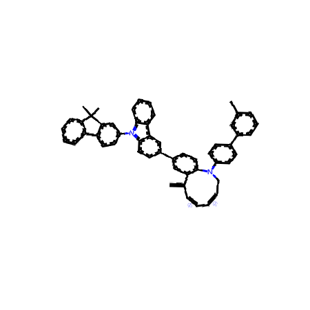 C=C1/C=C\C=C/CN(c2ccc(-c3cccc(C)c3)cc2)c2ccc(-c3ccc4c(c3)c3ccccc3n4-c3ccc4c(c3)C(C)(C)c3ccccc3-4)cc21